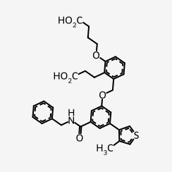 Cc1cscc1-c1cc(OCc2cccc(OCCCC(=O)O)c2CCC(=O)O)cc(C(=O)NCc2ccccc2)c1